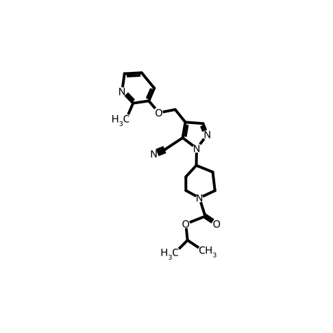 Cc1ncccc1OCc1cnn(C2CCN(C(=O)OC(C)C)CC2)c1C#N